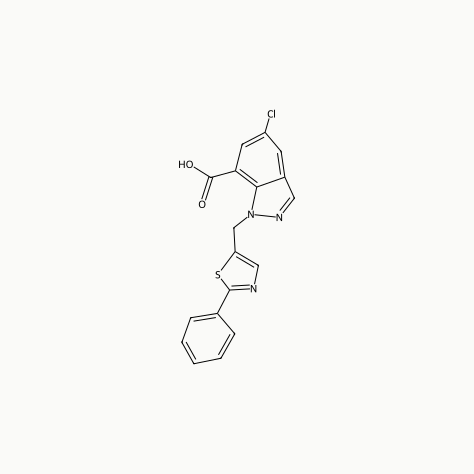 O=C(O)c1cc(Cl)cc2cnn(Cc3cnc(-c4ccccc4)s3)c12